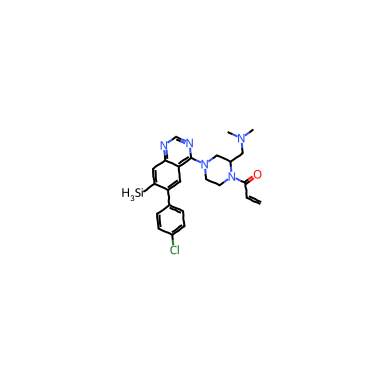 C=CC(=O)N1CCN(c2ncnc3cc([SiH3])c(-c4ccc(Cl)cc4)cc23)CC1CN(C)C